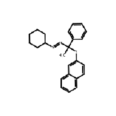 CC(/N=N/C1CCCCC1)(Sc1ccc2ccccc2c1)c1ccccc1